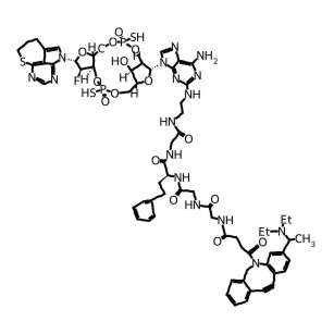 CCN(CC)C(C)c1ccc2c(c1)N(C(=O)CCC(=O)NCC(=O)NCC(=O)N[C@@H](CCc1ccccc1)C(=O)NCC(=O)NCCNc1nc(N)c3ncn([C@@H]4O[C@@H]5COP(=O)(S)O[C@H]6[C@@H](F)[C@H](n7cc8c9c(ncnc97)SCCC8)O[C@@H]6COP(=O)(S)O[C@@H]4[C@@H]5O)c3n1)Cc1ccccc1C#C2